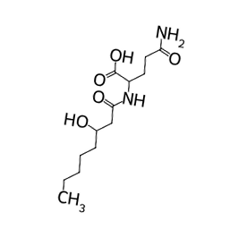 CCCCCC(O)CC(=O)NC(CCC(N)=O)C(=O)O